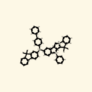 CC1(C)c2ccccc2-c2ccc(N(c3ccc(-c4ccccc4)cc3)c3ccc4c(c3)c3cn5c(c3n4-c3ccccc3)C(C)(C)c3ccccc3-5)cc21